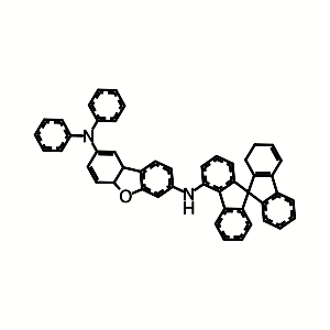 C1=CC2=C(CC1)C1(c3ccccc32)c2ccccc2-c2c(Nc3ccc4c(c3)OC3C=CC(N(c5ccccc5)c5ccccc5)=CC43)cccc21